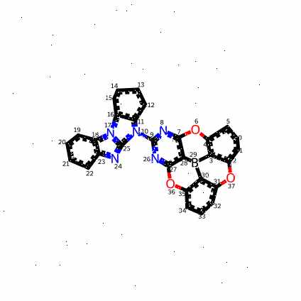 c1cc2c3c(c1)Oc1nc(-n4c5ccccc5n5c6ccccc6nc45)nc4c1B3c1c(cccc1O4)O2